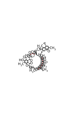 CO[C@H]1/C=C/O[C@@]2(C)Oc3c(C)c(O)c4c(c3C2=O)C(=O)C(N2CCC(=NOC3CCN(c5c(F)cn6c(=O)c(C)cc(C7CC7)c6c5C)C3)CC2)=C(NC(=O)/C(C)=C\C=C\[C@H](C)[C@H](O)[C@@H](C)[C@@H](O)[C@@H](C)[C@H](OC(C)=O)[C@@H]1C)C4=O